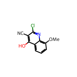 COc1cccc2c(O)c(C#N)c(Cl)nc12